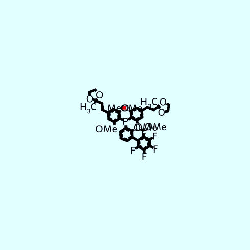 COCOc1c(-c2c(F)c(F)c(F)c(F)c2F)cccc1P(c1c(OC)cc(CCC2(C)OCCO2)cc1OC)c1c(OC)cc(CCC2(C)OCCO2)cc1OC